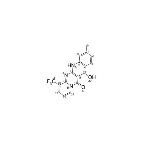 Cc1cccc(Nc2nc3c(C(F)(F)F)cccn3c(=O)c2CO)c1